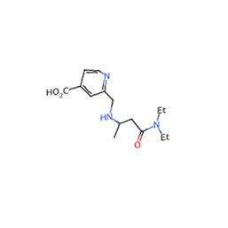 CCN(CC)C(=O)CC(C)NCc1cc(C(=O)O)ccn1